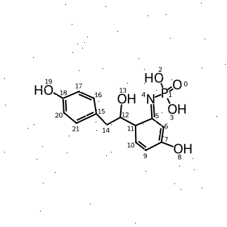 O=P(O)(O)/N=C1\C=C(O)C=CC1C(O)Cc1ccc(O)cc1